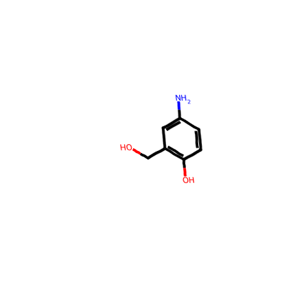 Nc1ccc(O)c(CO)c1